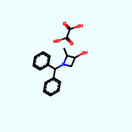 CC1C(O)CN1C(c1ccccc1)c1ccccc1.O=C(O)C(=O)O